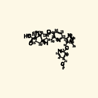 COCc1ccnc(OCc2c(-c3ccc(O[C@@H]4C[C@@H]5CC[C@](F)(C(=O)O)[C@@H]5C4)c(C)n3)nnn2C)n1